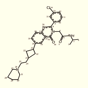 CC(C)NC(=O)Cn1c(-c2cccc(Cl)c2)nc2ccc(C3CC(CCN4CCCCC4)C3)cc2c1=O